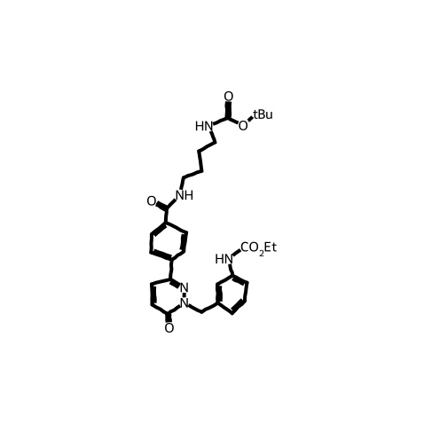 CCOC(=O)Nc1cccc(Cn2nc(-c3ccc(C(=O)NCCCCNC(=O)OC(C)(C)C)cc3)ccc2=O)c1